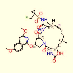 COc1ccc2c(O[C@@H]3C[C@H]4C(=O)N[C@]5(C(=O)NS(=O)(=O)C6(CF)CC6)C[C@H]5/C=C\CC[C@@H](C)C[C@@H](C)[C@H](NC(=O)O)C(=O)N4C3)nc(OC)cc2c1